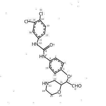 O=CC(Oc1ccc(NC(=O)Nc2ccc(Cl)c(Cl)c2)cc1)C1CNCCO1